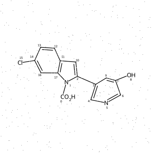 O=C(O)n1c(-c2cncc(O)c2)cc2ccc(Cl)cc21